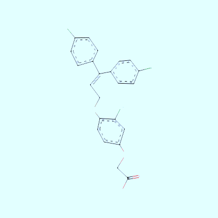 O=C(O)COc1ccc(SCC=C(c2ccc(F)cc2)c2ccc(F)cc2)c(Br)c1